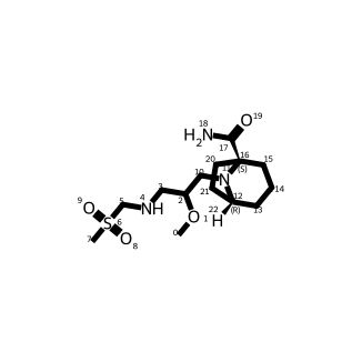 COC(CNCS(C)(=O)=O)CN1[C@@H]2C[CH]C[C@@]1(C(N)=O)CC2